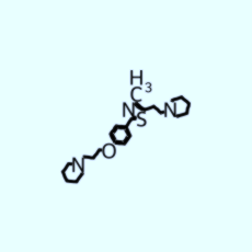 Cc1nc(-c2ccc(OCCCN3CCCCC3)cc2)sc1CCN1CCCCC1